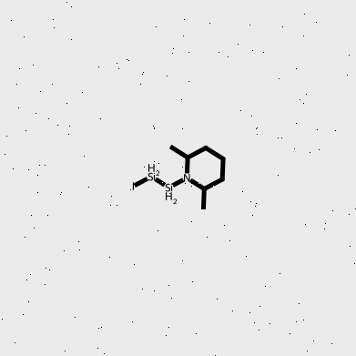 CC1CCCC(C)N1[SiH2][SiH2]I